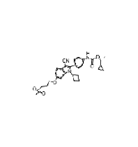 C[C@@H](OC(=O)Nc1ccc(-c2c(C#N)c3ccc(OCCCS(C)(=O)=O)cc3n2C2CCC2)cc1)C1CC1